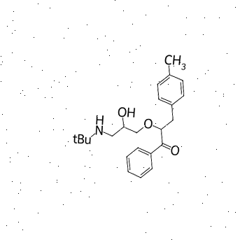 Cc1ccc(CC(OCC(O)CNC(C)(C)C)C(=O)c2ccccc2)cc1